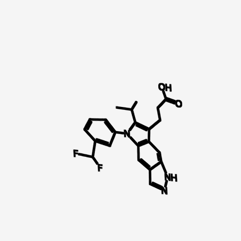 CC(C)c1c(CCC(=O)O)c2cc3[nH]ncc3cc2n1-c1cccc(C(F)F)c1